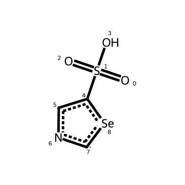 O=S(=O)(O)c1cn[c][se]1